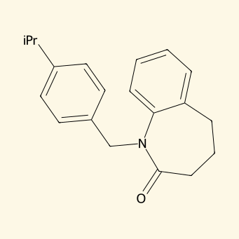 CC(C)c1ccc(CN2C(=O)CCCc3ccccc32)cc1